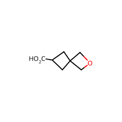 O=C(O)C1CC2(COC2)C1